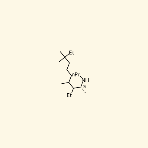 CCCN[C@H](C)C(CC)C(C)CCCC(C)(C)CC